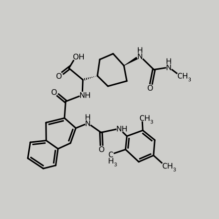 CNC(=O)N[C@H]1CC[C@H](C(NC(=O)c2cc3ccccc3cc2NC(=O)Nc2c(C)cc(C)cc2C)C(=O)O)CC1